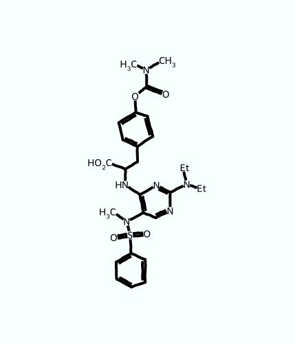 CCN(CC)c1ncc(N(C)S(=O)(=O)c2ccccc2)c(NC(Cc2ccc(OC(=O)N(C)C)cc2)C(=O)O)n1